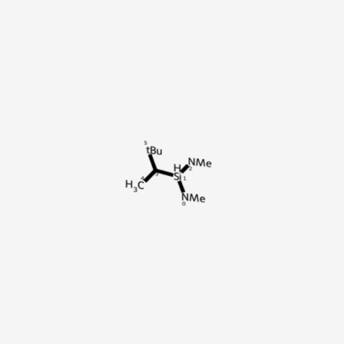 CN[SiH](NC)C(C)C(C)(C)C